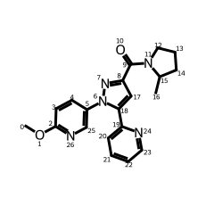 COc1ccc(-n2nc(C(=O)N3CCCC3C)cc2-c2ccccn2)cn1